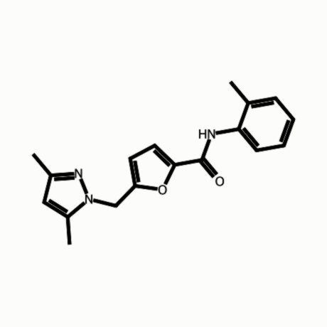 Cc1cc(C)n(Cc2ccc(C(=O)Nc3ccccc3C)o2)n1